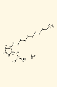 CCCCCCCCCCCc1nccn1CC(=O)O.[Na]